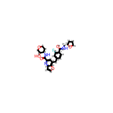 O=C(N[C@H]1CCOC[C@@H]1O)c1cc(Cc2ccc(C(=O)NC[C@@H]3CCCO3)c(F)c2)c2occc2n1